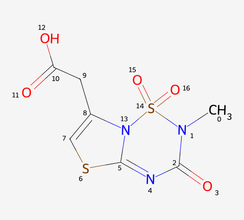 CN1C(=O)N=C2SC=C(CC(=O)O)N2S1(=O)=O